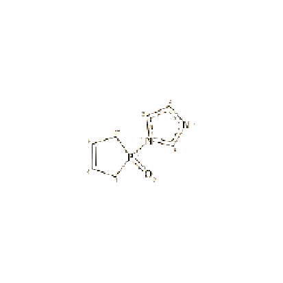 O=P1(n2ccnc2)CC=CC1